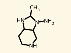 CC1NC2CCNCC2N1N